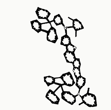 Cc1cccc(C)c1N(c1cccc(C2(c3ccccc3)c3ccccc3-c3ccccc32)c1)c1ccc2c(c1)sc1c2ccc2c1ccc1c3ccc(N(c4cccc(C5(c6ccccc6)c6ccccc6-c6ccccc65)c4)c4c(C)cccc4C)cc3sc12